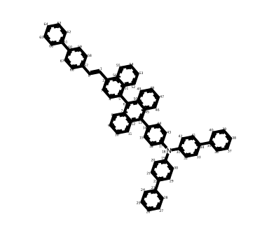 C(=C\c1ccc(-c2c3ccccc3c(-c3ccc(N(c4ccc(-c5ccccc5)cc4)c4ccc(-c5ccccc5)cc4)cc3)c3ccccc23)c2ccccc12)/c1ccc(-c2ccccc2)cc1